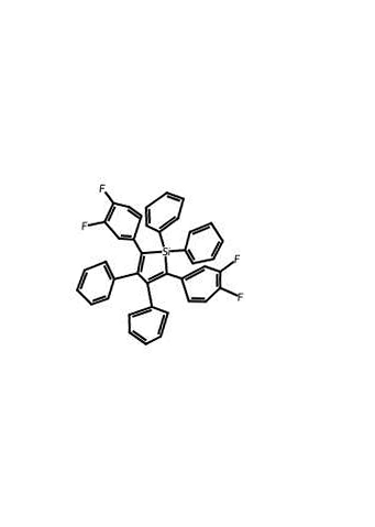 Fc1ccc(C2=C(c3ccccc3)C(c3ccccc3)=C(c3ccc(F)c(F)c3)[Si]2(c2ccccc2)c2ccccc2)cc1F